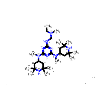 CCN(C)CNc1nc(N(C)C2CC(C)(C)NC(C)(C)C2)nc(N(C)C2CC(C)(C)NC(C)(C)C2)n1